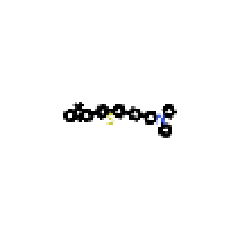 CC1(C)c2ccccc2C2(C)C=CC(c3ccc4c(c3)sc3cc(-c5ccc(-c6ccc(N(c7ccccc7)c7ccccc7)cc6)cc5)ccc34)=CC12